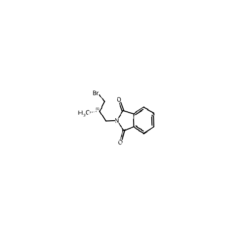 C[C@H](CBr)CN1C(=O)c2ccccc2C1=O